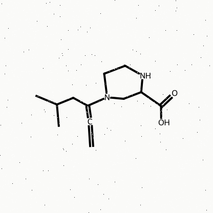 C=C=C(CC(C)C)N1CCNC(C(=O)O)C1